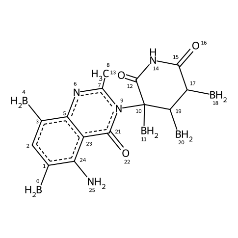 Bc1cc(B)c2nc(C)n(C3(B)C(=O)NC(=O)C(B)C3B)c(=O)c2c1N